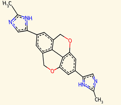 Cc1ncc(-c2cc3c4c(c2)COc2cc(-c5cnc(C)[nH]5)cc(c2-4)OC3)[nH]1